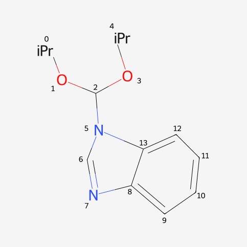 CC(C)OC(OC(C)C)n1cnc2ccccc21